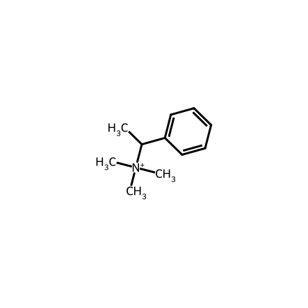 CC(c1ccccc1)[N+](C)(C)C